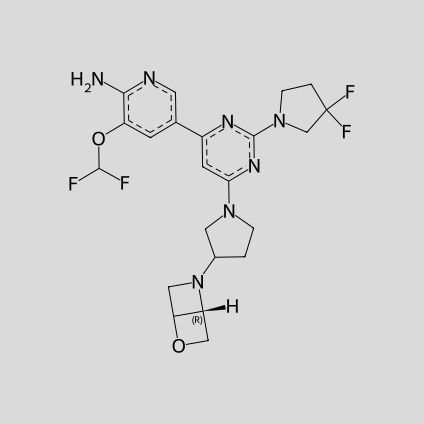 Nc1ncc(-c2cc(N3CCC(N4CC5OC[C@H]54)C3)nc(N3CCC(F)(F)C3)n2)cc1OC(F)F